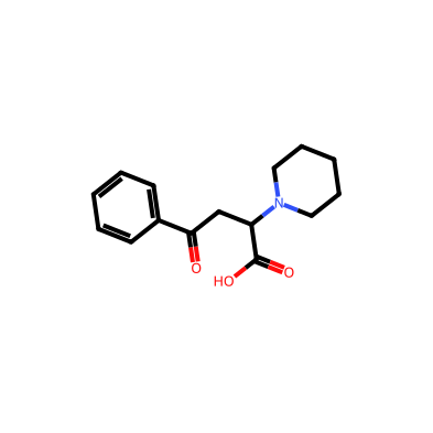 O=C(CC(C(=O)O)N1CCCCC1)c1ccccc1